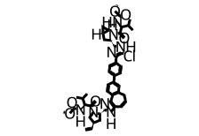 C=C[C@@H]1C[C@@H](c2nc3c([nH]2)C=CCc2cc(-c4ccc(-c5nc([C@@H]6C[C@H]7C[C@H]7N6C(=O)[C@@H](NC(=O)OC)C(C)C)[nH]c5Cl)cc4)ccc2-3)N(C(=O)[C@@H](NC(=O)OC)C(C)C)C1